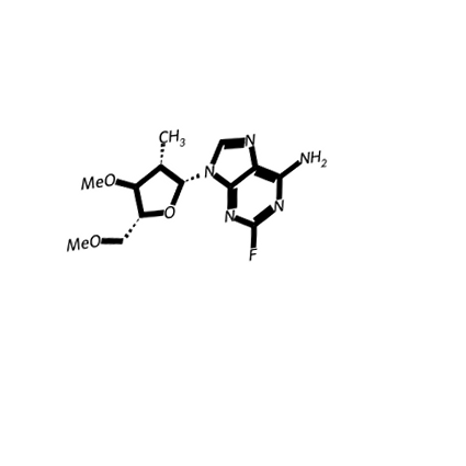 COC[C@H]1O[C@@H](n2cnc3c(N)nc(F)nc32)[C@@H](C)C1OC